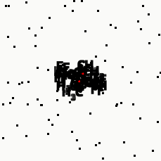 CC[Si](CC)(CC)OC1(C2=CCC(C3=C(F)C(F)C(I)C(F)=C3F)C=C2)C=CC(O[Si](CC)(CC)CC)(c2ccc(-c3c(F)c(F)c(I)c(F)c3F)cc2)CC1